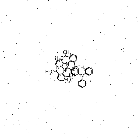 CC(C)c1cccc(C(C)C)c1N1c2ncc[n+]3c2N(c2c(C(C)C)cccc2C3C)C1c1ccc(N(c2ccccc2)c2ccccc2)cc1